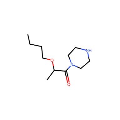 CCCCOC(C)C(=O)N1CCNCC1